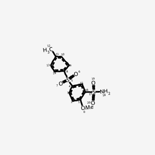 COc1ccc(S(=O)(=O)c2ccc(C)cc2)cc1S(N)(=O)=O